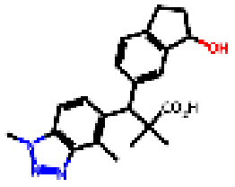 Cc1c(C(c2ccc3c(c2)C(O)CC3)C(C)(C)C(=O)O)ccc2c1nnn2C